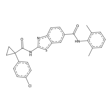 Cc1cccc(C)c1NC(=O)c1ccc2nc(NC(=O)C3(c4ccc(Cl)cc4)CC3)sc2c1